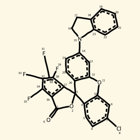 O=C1OC2(c3ccc(Cl)cc3Oc3cc(N4CCc5ccccc54)ccc32)c2c(F)c(F)c(F)c(F)c21